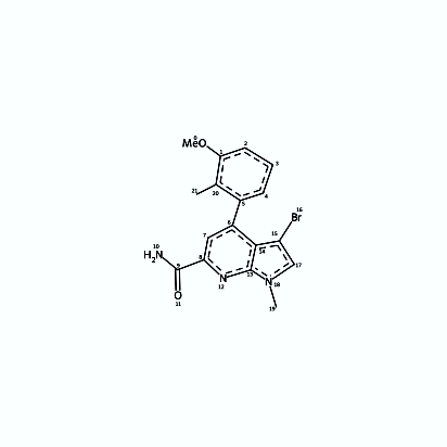 COc1cccc(-c2cc(C(N)=O)nc3c2c(Br)cn3C)c1C